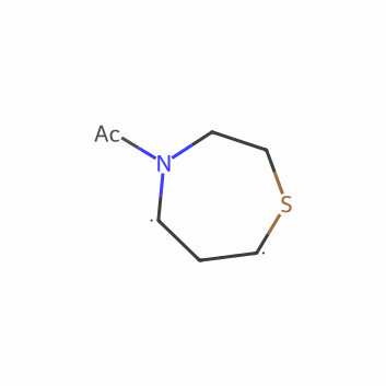 CC(=O)N1[CH]C[CH]SCC1